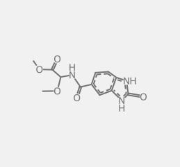 COC(=O)C(NC(=O)c1ccc2[nH]c(=O)[nH]c2c1)OC